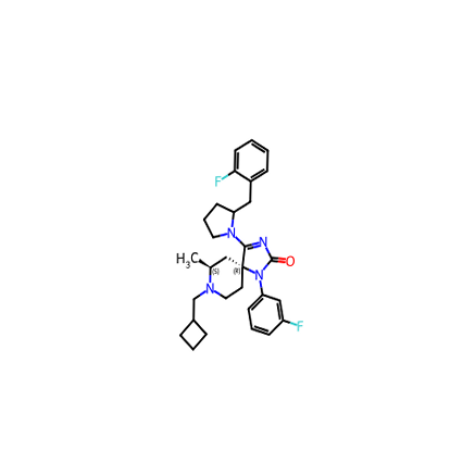 C[C@H]1C[C@]2(CCN1CC1CCC1)C(N1CCCC1Cc1ccccc1F)=NC(=O)N2c1cccc(F)c1